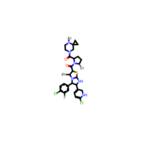 CC[C@@H]1CCC(C(=O)N2CCN(C(C)=O)C3(CC3)C2)N1C(=O)C1SC2NC(C3=CC=C(Cl)NC3)C(c3ccc(Cl)c(F)c3)N2C1C(C)C